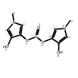 Cn1cc(O)c(OS(=O)Oc2cn(C)cc2O)c1